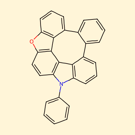 c1ccc(-n2c3cccc4c5ccccc5c5cccc6oc7ccc2c(c7c65)c43)cc1